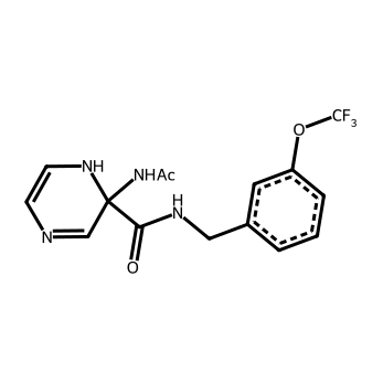 CC(=O)NC1(C(=O)NCc2cccc(OC(F)(F)F)c2)C=NC=CN1